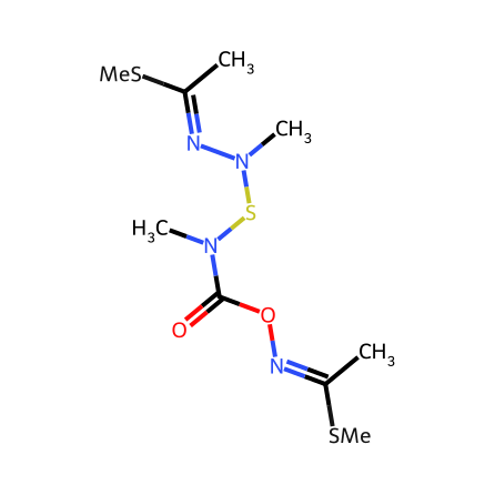 CSC(C)=NOC(=O)N(C)SN(C)N=C(C)SC